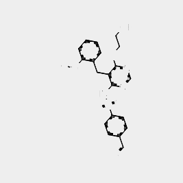 COc1ccccc1Cc1c(NS(=O)(=O)c2ccc(C=O)cc2)ncnc1OCCO